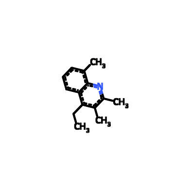 CCc1c(C)c(C)nc2c(C)cccc12